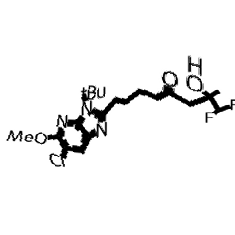 COc1nc2c(cc1Cl)nc(CCCCC(=O)CC(C)(O)C(F)F)n2C(C)(C)C